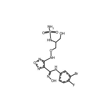 NS(=O)(=O)NC(CO)CONc1nonc1/C(=N/O)Nc1ccc(F)c(Br)c1